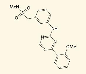 CNS(=O)(=O)Cc1cccc(Nc2nccc(-c3ccccc3OC)n2)c1